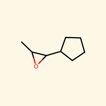 CC1O[C]1C1CCCC1